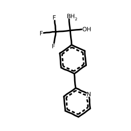 BC(O)(c1ccc(-c2ccccn2)cc1)C(F)(F)F